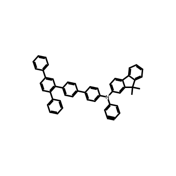 CC1(C)c2ccccc2-c2ccc(N(c3cc#ccc3)c3ccc(-c4ccc(-c5cc(-c6ccccc6)ccc5-c5ccccc5)cc4)cc3)cc21